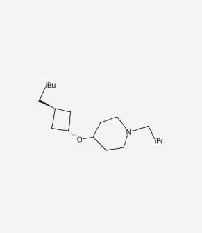 CCC(C)C[C@H]1C[C@H](OC2CCN(CC(C)C)CC2)C1